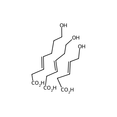 O=C(O)CC=CCCCO.O=C(O)CC=CCCO.O=C(O)CC=CCO